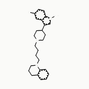 Cn1cc(C2CCN(CCCCN3CCCc4ccccc43)CC2)c2cc(F)ccc21